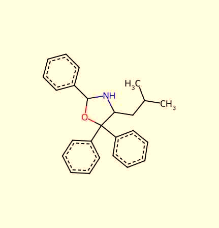 CC(C)CC1NC(c2ccccc2)OC1(c1ccccc1)c1ccccc1